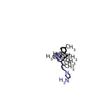 C=C(c1cc(C)ccc1C)C(C)(C)C(C)(C)C(/C=C(/C)N(C)CCCCC)=C(C)/C=C\CN1CCC(N)C1